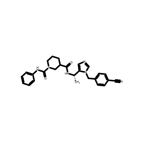 C[C@H](NC(=O)C1CCCN(C(=O)Nc2ccccc2)C1)c1cncn1Cc1ccc(C#N)cc1